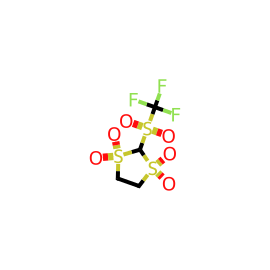 O=S1(=O)CCS(=O)(=O)C1S(=O)(=O)C(F)(F)F